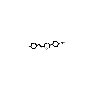 CCCC1CCC(C2CCC(CCC3CCC(CC)CC3)OC2)CC1